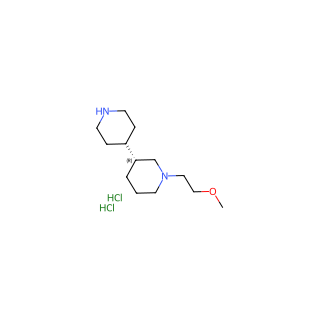 COCCN1CCC[C@H](C2CCNCC2)C1.Cl.Cl